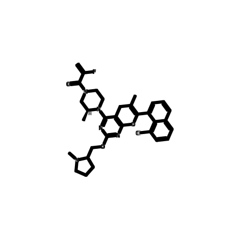 C=C(F)C(=O)N1CCN(c2nc(OCC3CCCN3C)nc3c2CC(C)=C(c2cccc4cccc(Cl)c24)O3)[C@@H](C)C1